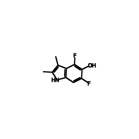 Cc1[nH]c2cc(F)c(O)c(F)c2c1C